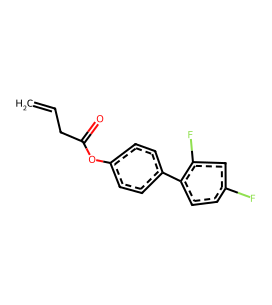 C=CCC(=O)Oc1ccc(-c2ccc(F)cc2F)cc1